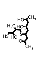 CC(O)CC(C[C@@H](O)CC(C)O)SCC(C)C(O)CS